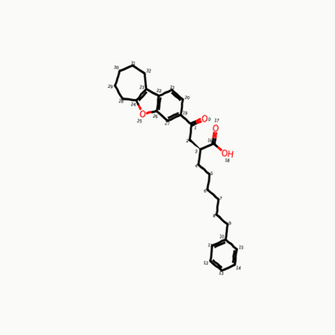 O=C(C[C@H](CCCCCCc1ccccc1)C(=O)O)c1ccc2c3c(oc2c1)CCCCC3